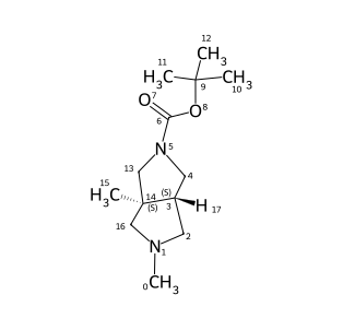 CN1C[C@H]2CN(C(=O)OC(C)(C)C)C[C@]2(C)C1